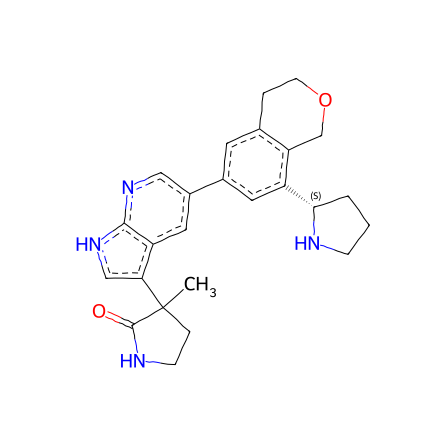 CC1(c2c[nH]c3ncc(-c4cc5c(c([C@@H]6CCCN6)c4)COCC5)cc23)CCNC1=O